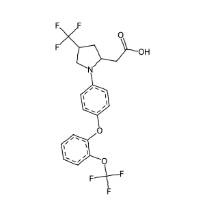 O=C(O)CC1CC(C(F)(F)F)CN1c1ccc(Oc2ccccc2OC(F)(F)F)cc1